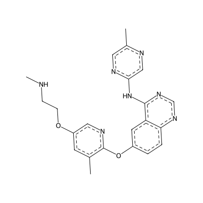 CNCCOc1cnc(Oc2ccc3ncnc(Nc4cnc(C)cn4)c3c2)c(C)c1